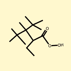 CCC(C(=O)OO)C(C)(C(C)(C)C)C(C)(C)C